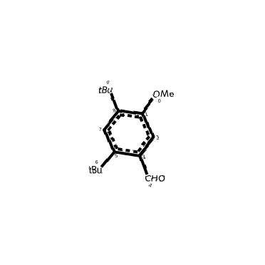 COc1cc(C=O)c(C(C)(C)C)cc1C(C)(C)C